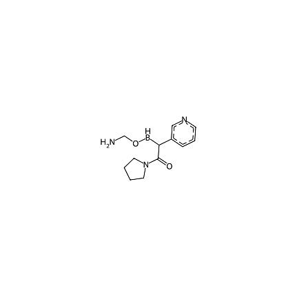 NCOBC(C(=O)N1CCCC1)c1cccnc1